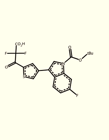 CC(C)(C)OC(=O)n1cc(-c2csc(C(=O)C(F)(F)C(=O)O)c2)c2ccc(F)cc21